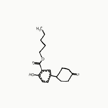 CCCCCOC(=O)c1cc(C2CCC(=O)CC2)ccc1O